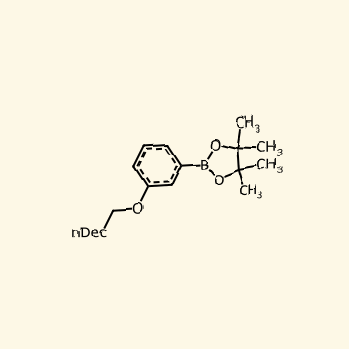 CCCCCCCCCCCOc1cccc(B2OC(C)(C)C(C)(C)O2)c1